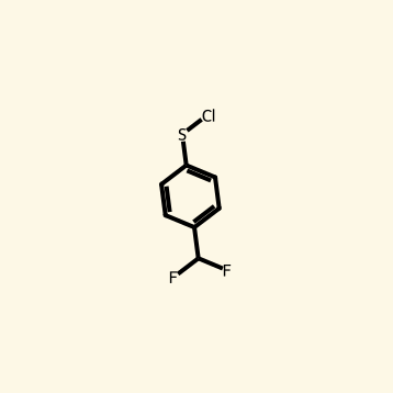 FC(F)c1ccc(SCl)cc1